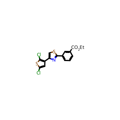 CCOC(=O)c1cccc(-c2nc(-c3cc(Cl)sc3Cl)cs2)c1